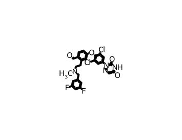 CN(CCc1cc(Oc2c(Cl)cc(-n3ncc(=O)[nH]c3=O)cc2Cl)ccc1C=O)Cc1cc(F)cc(F)c1